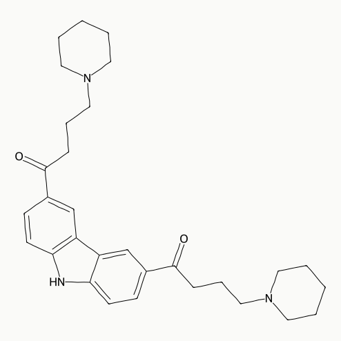 O=C(CCCN1CCCCC1)c1ccc2[nH]c3ccc(C(=O)CCCN4CCCCC4)cc3c2c1